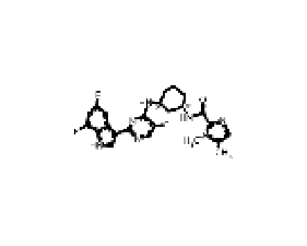 Cc1cnc(C(=O)N[C@@H]2CCC[C@H](Nc3nc(-c4c[nH]c5c(F)cc(F)cc45)ncc3F)C2)n1C